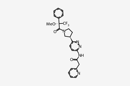 CO[C@](C(=O)N1CC[C@@H](c2ccc(NC(=O)Cc3ccccn3)nn2)C1)(c1ccccc1)C(F)(F)F